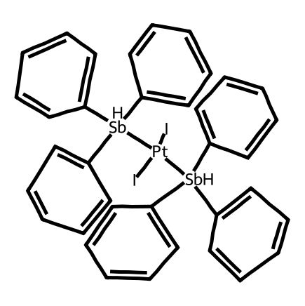 [I][Pt]([I])([SbH]([c]1ccccc1)([c]1ccccc1)[c]1ccccc1)[SbH]([c]1ccccc1)([c]1ccccc1)[c]1ccccc1